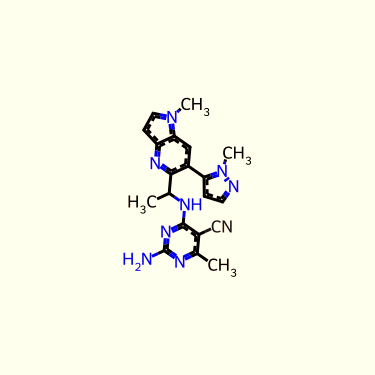 Cc1nc(N)nc(NC(C)c2nc3ccn(C)c3cc2-c2ccnn2C)c1C#N